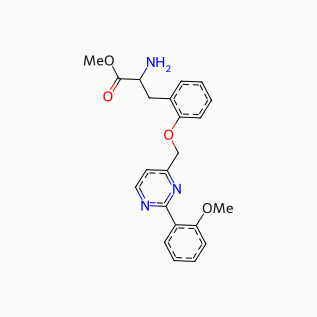 COC(=O)C(N)Cc1ccccc1OCc1ccnc(-c2ccccc2OC)n1